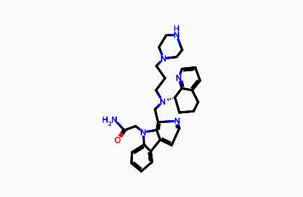 NC(=O)Cn1c2ccccc2c2ccnc(CN(CCCN3CCNCC3)[C@H]3CCCc4cccnc43)c21